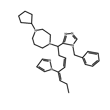 CC/C=C(\C=C/CC(c1nncn1Cc1ccccc1)N1CCCN(C2CCCC2)CC1)n1cccn1